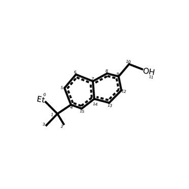 CCC(C)(C)c1ccc2cc(CO)ccc2c1